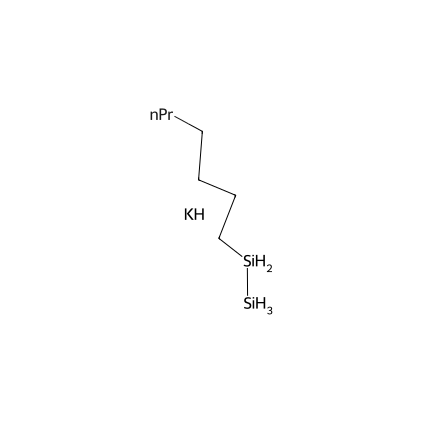 CCCCCCC[SiH2][SiH3].[KH]